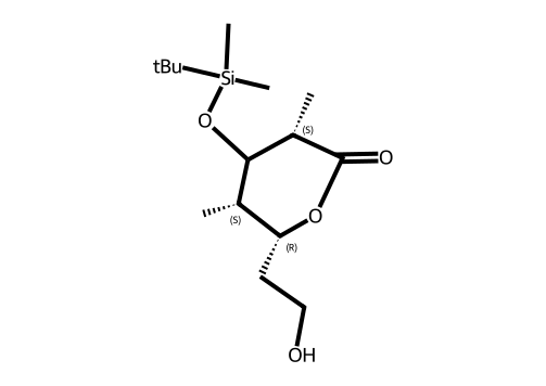 C[C@@H]1C(=O)O[C@H](CCO)[C@H](C)C1O[Si](C)(C)C(C)(C)C